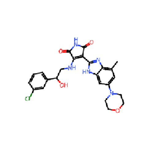 Cc1cc(N2CCOCC2)cc2[nH]c(C3=C(NCC(O)c4cccc(Cl)c4)C(=O)NC3=O)nc12